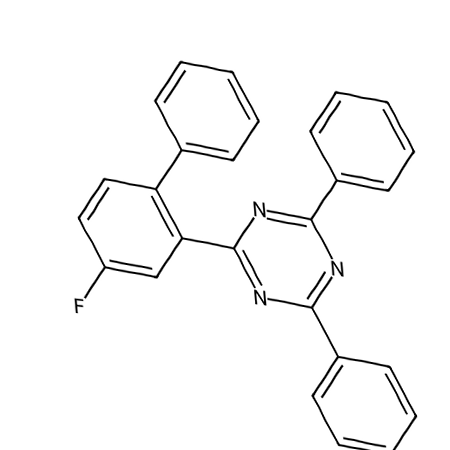 Fc1ccc(-c2ccccc2)c(-c2nc(-c3ccccc3)nc(-c3ccccc3)n2)c1